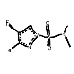 CN(C)S(=O)(=O)n1cc(F)c(Br)n1